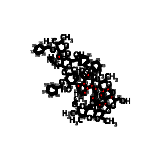 CO[C@H]1OC(CO)[C@@H](O[C@@H]2OC(C)[C@@H](O[C@H]3OC(CO)[C@H](O[C@@H]4OC(C)[C@@H](O[C@H]5OC(CO[Si](c6ccccc6)(c6ccccc6)C(C)(C)C)[C@@H](O[C@@H]6OC(C)[C@@H](O[C@@H]7OC(CO)[C@H](O[C@@H]8OC(C)[C@@H](C)[C@@H](OCc9ccccc9)C8O)[C@H](C)C7N=[N+]=[N-])[C@@H](OCc7ccccc7)C6O)[C@H](C)C5N=[N+]=[N-])[C@@H](OCc5ccccc5)C4O)[C@H](C)C3N=[N+]=[N-])[C@@H](OCc3ccccc3)C2O)[C@H](C)C1C